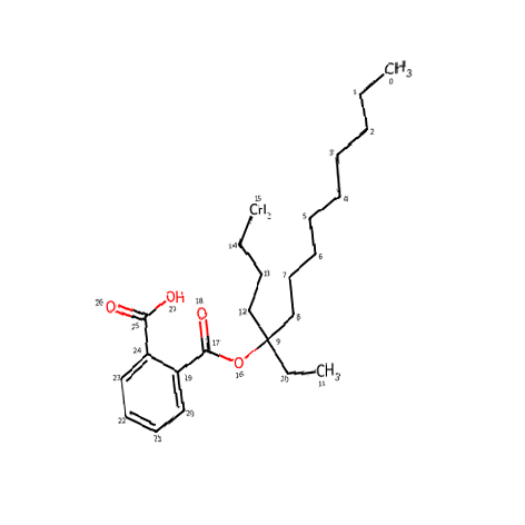 CCCCCCCCCC(CC)(CCCC)OC(=O)c1ccccc1C(=O)O